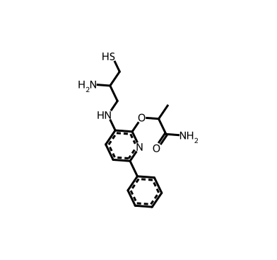 CC(Oc1nc(-c2ccccc2)ccc1NCC(N)CS)C(N)=O